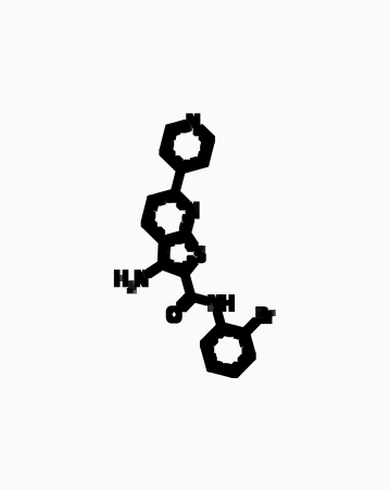 Nc1c(C(=O)Nc2ccccc2Br)sc2nc(-c3ccncc3)ccc12